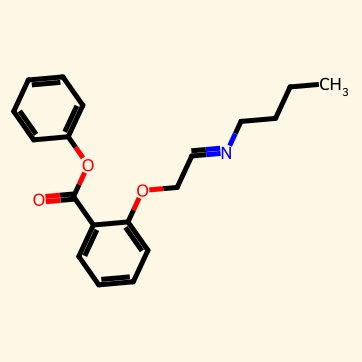 CCCCN=CCOc1ccccc1C(=O)Oc1ccccc1